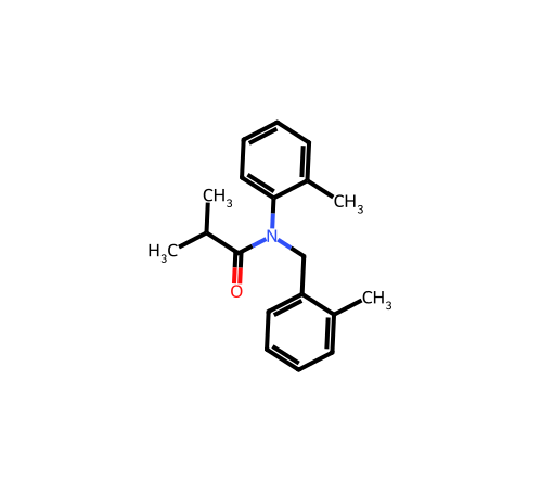 Cc1ccccc1CN(C(=O)C(C)C)c1ccccc1C